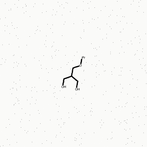 CC(C)OCC(CO)CO